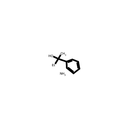 CCC(C)(O)c1ccccc1.N